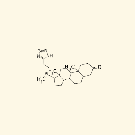 C[C@H](CCc1nnn[nH]1)C1CCC2C3CCC4CC(=O)CCC4(C)C3CCC21C